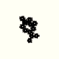 c1ccc(-c2cc(-c3ccccc3)c3c(c2)-c2cc(-c4ccccc4)cc(-c4cccc(-n5c6ccccc6c6c7c8ccccc8n(-c8nc(-c9ccccc9)nc(-c9ccccc9)n8)c7ccc65)c4)c2C3)cc1